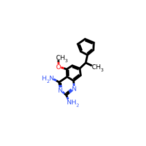 COc1cc(C(C)c2ccccc2)cc2nc(N)nc(N)c12